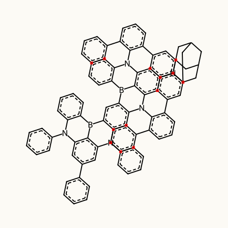 c1ccc(-c2cc3c4c(c2)N(c2ccccc2)c2cc5c(cc2B4c2ccccc2N3c2ccccc2)B2c3ccccc3N(c3c(-c4ccccc4)cccc3-c3ccccc3)c3cc(N4C6CC7CC(C6)CC4C7)cc(c32)N5c2c(-c3ccccc3)cccc2-c2ccccc2)cc1